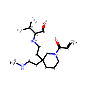 C=CC(=O)N1CCCC(CCNC)(CCNC(C=O)C(C)C)C1